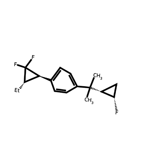 CC[C@H]1[C@H](c2ccc(C(C)(C)[C@@H]3C[C@@H]3F)cc2)C1(F)F